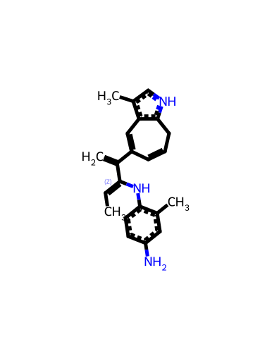 C=C(C1=Cc2c(C)c[nH]c2CC=C1)/C(=C/C)Nc1ccc(N)cc1C